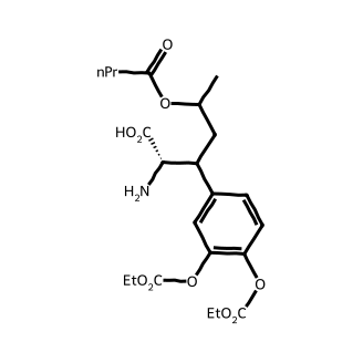 CCCC(=O)OC(C)CC(c1ccc(OC(=O)OCC)c(OC(=O)OCC)c1)[C@H](N)C(=O)O